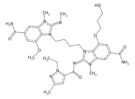 CCn1nc(C)cc1C(=O)/N=c1\n(C)c2cc(C(N)=O)cc(OCCCO)c2n1CCCCn1/c(=N/C)n(C)c2cc(C(N)=O)cc(OC)c21